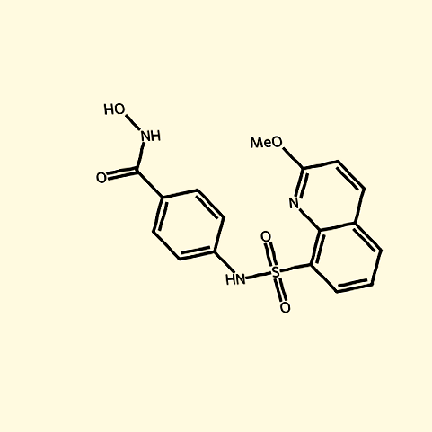 COc1ccc2cccc(S(=O)(=O)Nc3ccc(C(=O)NO)cc3)c2n1